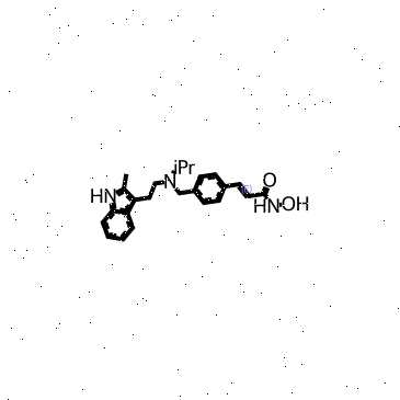 Cc1[nH]c2ccccc2c1CCN(Cc1ccc(/C=C/C(=O)NO)cc1)C(C)C